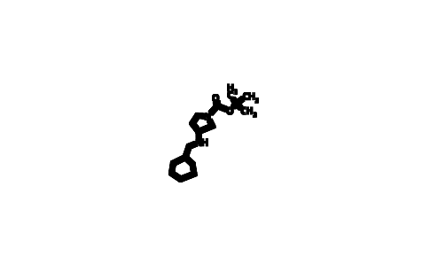 CC(C)(C)OC(=O)N1CCC(NCC2CCCCC2)C1